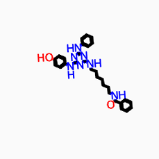 O=C(NCCCCCCCNc1nc(Nc2ccccc2)nc(Nc2ccc(O)cc2)n1)c1ccccc1